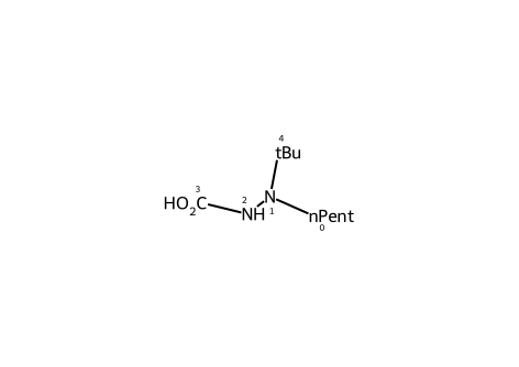 CCCCCN(NC(=O)O)C(C)(C)C